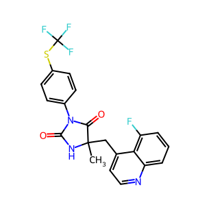 CC1(Cc2ccnc3cccc(F)c23)NC(=O)N(c2ccc(SC(F)(F)F)cc2)C1=O